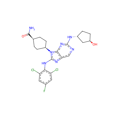 NC(=O)[C@H]1CC[C@@H](n2c(Nc3c(Cl)cc(F)cc3Cl)nc3cnc(N[C@@H]4CC[C@@H](O)C4)nc32)CC1